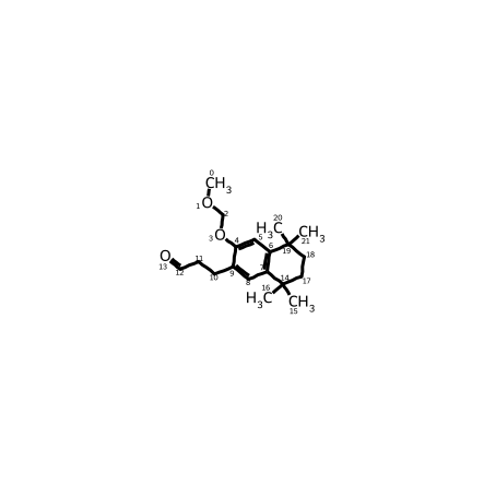 COCOc1cc2c(cc1CCC=O)C(C)(C)CCC2(C)C